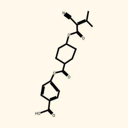 CC(C)=C(C#N)C(=O)OC1CCC(C(=O)Oc2ccc(C(=O)O)cc2)CC1